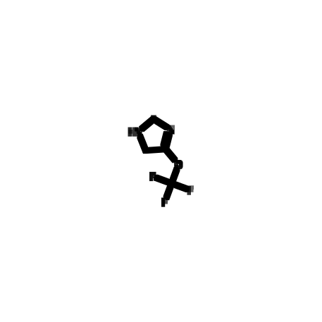 FC(F)(F)OC1=N[C]NC1